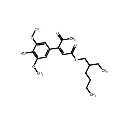 CCCCC(CC)COC(=O)C=C(C(C)=O)c1cc(OC)c(O)c(OC)c1